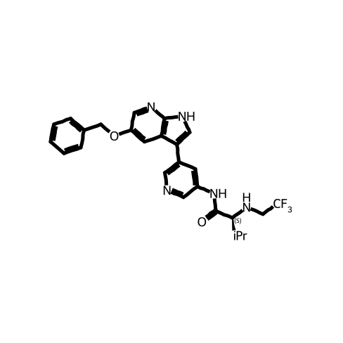 CC(C)[C@H](NCC(F)(F)F)C(=O)Nc1cncc(-c2c[nH]c3ncc(OCc4ccccc4)cc23)c1